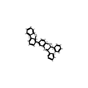 c1ccc(C2=Nc3cc(-c4cccc5c4oc4ccccc45)ccc3NC2c2ccccc2)cc1